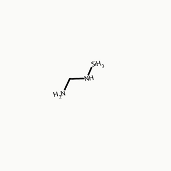 NCN[SiH3]